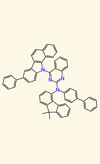 CC1(C)c2ccccc2-c2c(N(c3ccc(-c4ccccc4)cc3)c3nc(-n4c5ccc(-c6ccccc6)cc5c5ccc6ccccc6c54)c4ccccc4n3)cccc21